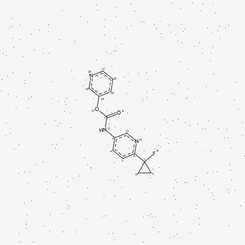 O=C(Nc1ccc(C2(F)CC2)nc1)Oc1cccnc1